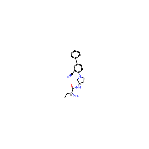 CC[C@H](N)C(=O)N[C@H]1CCN(c2ccc(-c3ccccc3)cc2C#N)C1